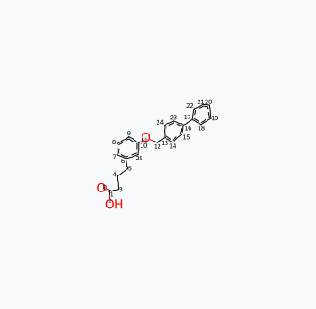 O=C(O)CCCc1cccc(OCc2ccc(-c3ccccc3)cc2)c1